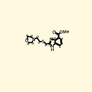 COC(=O)c1cccc2[nH]c(CSCCN3CCOCC3)nc12